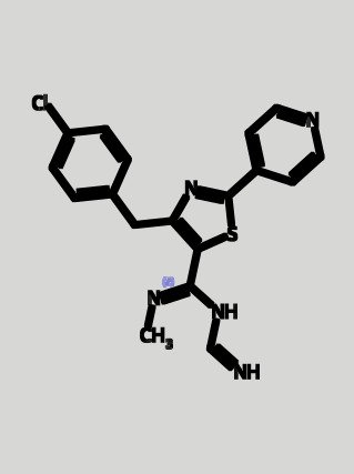 C/N=C(\NC=N)c1sc(-c2ccncc2)nc1Cc1ccc(Cl)cc1